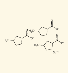 CC1CCC(C(=O)[O-])C1.CC1CCC(C(=O)[O-])C1.CC1CCC(C(=O)[O-])C1.[Sb+3]